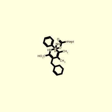 CCCCCCCC(=O)O[SH]1(N)(c2ccccc2)NC(C(=O)O)=C(CC2C=CCCC2)C(C)=C1C